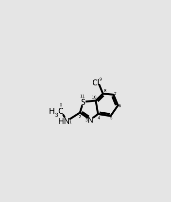 CNc1nc2cccc(Cl)c2s1